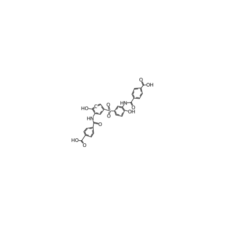 O=C(O)c1ccc(C(=O)Nc2cc(S(=O)(=O)c3ccc(O)c(NC(=O)c4ccc(C(=O)O)cc4)c3)ccc2O)cc1